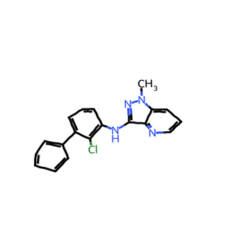 Cn1nc(Nc2cccc(-c3ccccc3)c2Cl)c2ncccc21